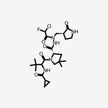 CC1(C)C[C@@H](C(=O)NN(C[C@@H]2CCNC2=O)C(=O)C(F)Cl)N(C(=O)C(NC(=O)C2CC2)C(C)(C)C)C1